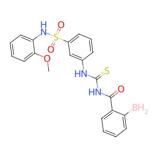 Bc1ccccc1C(=O)NC(=S)Nc1cccc(S(=O)(=O)Nc2ccccc2OC)c1